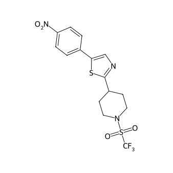 O=[N+]([O-])c1ccc(-c2cnc(C3CCN(S(=O)(=O)C(F)(F)F)CC3)s2)cc1